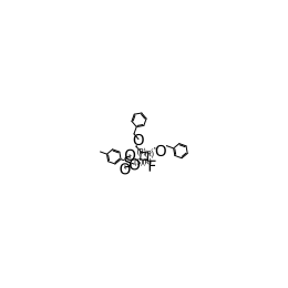 Cc1ccc(S(=O)(=O)O[C@@H]2[C@H](F)[C@@H](COCc3ccccc3)[C@@H]2COCc2ccccc2)cc1